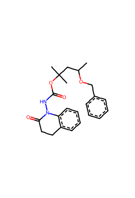 CC(CC(C)(C)OC(=O)NN1C(=O)CCc2ccccc21)OCc1ccccc1